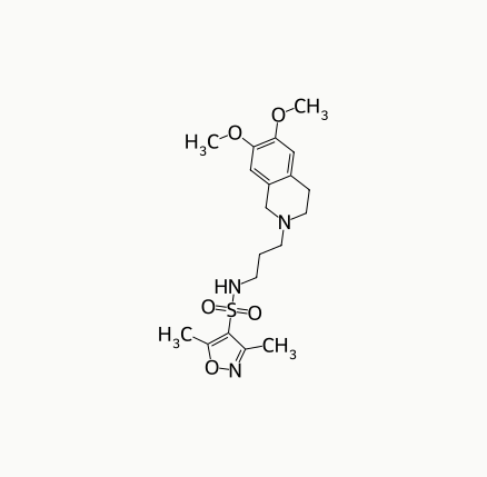 COc1cc2c(cc1OC)CN(CCCNS(=O)(=O)c1c(C)noc1C)CC2